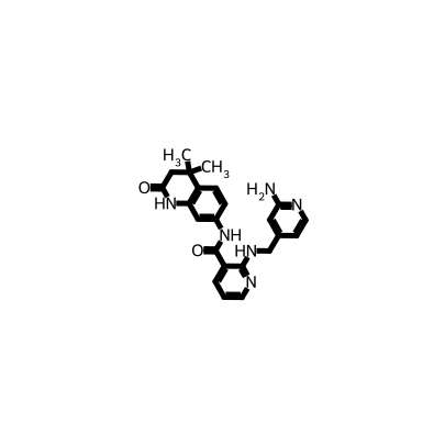 CC1(C)CC(=O)Nc2cc(NC(=O)c3cccnc3NCc3ccnc(N)c3)ccc21